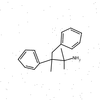 CC(C)(N)C(C)(Cc1ccccc1)c1ccccc1